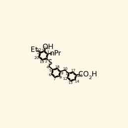 CCCc1c(SCc2cccc(Cc3cccc(C(=O)O)c3)c2)ccc(CC)c1O